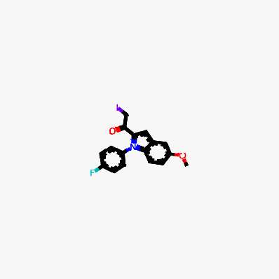 COc1ccc2c(c1)cc(C(=O)CI)n2-c1ccc(F)cc1